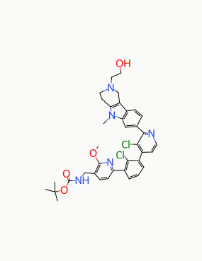 COc1nc(-c2cccc(-c3ccnc(-c4ccc5c6c(n(C)c5c4)CCN(CCO)C6)c3Cl)c2Cl)ccc1CNC(=O)OC(C)(C)C